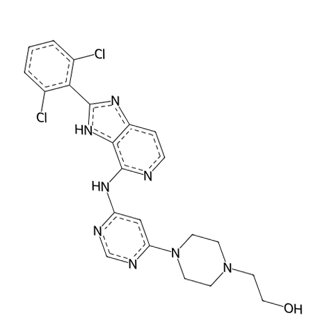 OCCN1CCN(c2cc(Nc3nccc4nc(-c5c(Cl)cccc5Cl)[nH]c34)ncn2)CC1